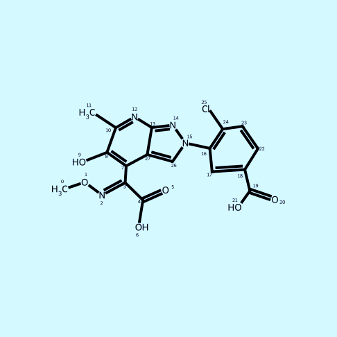 CO/N=C(/C(=O)O)c1c(O)c(C)nc2nn(-c3cc(C(=O)O)ccc3Cl)cc12